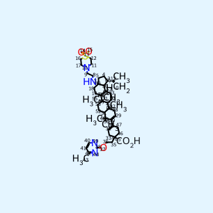 C=C(C)[C@@H]1CC[C@]2(NCCN3CCS(=O)(=O)CC3)CC[C@]3(C)[C@H](CCC4[C@@]5(C)CC=C(C6=CCC(CCOc7nccc(C)n7)(C(=O)O)CC6)C(C)(C)C5CC[C@]43C)C12